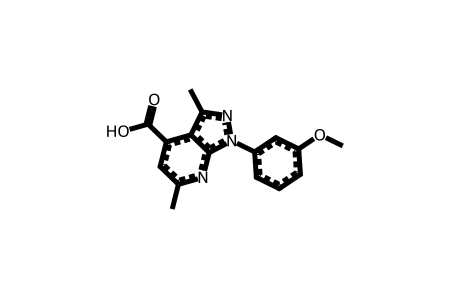 COc1cccc(-n2nc(C)c3c(C(=O)O)cc(C)nc32)c1